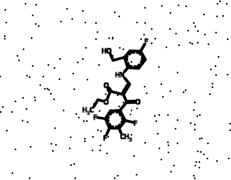 CCOC(=O)C(=CNc1ccc(F)cc1CO)C(=O)c1cc(F)c(F)c(C)c1F